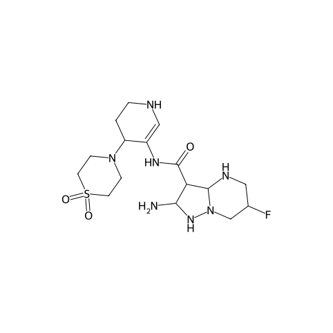 NC1NN2CC(F)CNC2C1C(=O)NC1=CNCCC1N1CCS(=O)(=O)CC1